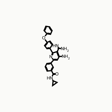 N=C(N)c1c(N)cc(-c2cccc(C(=O)NC3CC3)c2)nc1-c1ccc(Oc2ccccc2)cc1